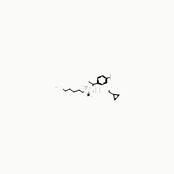 CC(NS(=O)(=O)CCCCCBr)c1ccc(F)c(OCC2CC2)c1